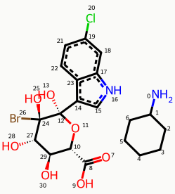 NC1CCCCC1.O=C(O)[C@H]1O[C@](O)(c2c[nH]c3cc(Cl)ccc23)[C@@](O)(Br)[C@@H](O)[C@@H]1O